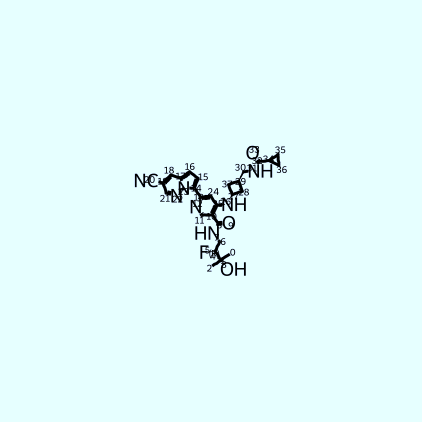 CC(C)(O)[C@H](F)CNC(=O)c1cnc(-c2ccc3cc(C#N)cnn23)cc1N[C@H]1C[C@H](CNC(=O)C2CC2)C1